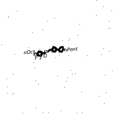 CCCCCCCCOc1ccc(C(=O)OCCc2ccc(C3CCC(CCCCC)CC3)cc2)c(F)c1F